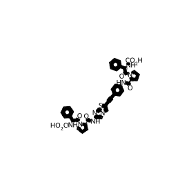 O=C(O)N[C@@H](C(=O)N1CCC[C@H]1C(=O)Nc1ccc(C#Cc2cn3cc(NC(=O)[C@@H]4CCCN4C(=O)[C@H](NC(=O)O)c4ccccc4)nc3s2)cc1)c1ccccc1